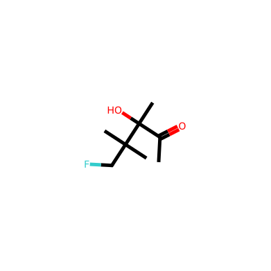 CC(=O)C(C)(O)C(C)(C)CF